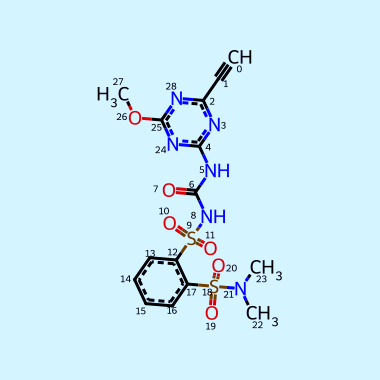 C#Cc1nc(NC(=O)NS(=O)(=O)c2ccccc2S(=O)(=O)N(C)C)nc(OC)n1